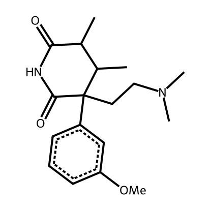 COc1cccc(C2(CCN(C)C)C(=O)NC(=O)C(C)C2C)c1